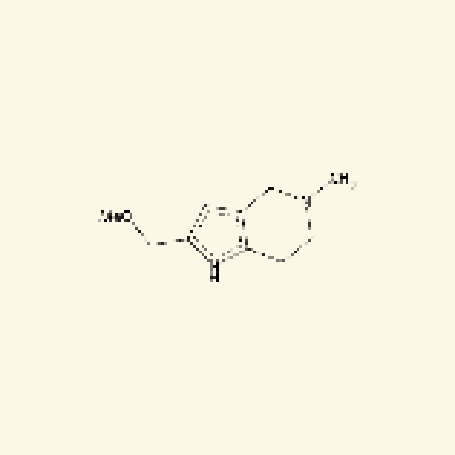 COCc1cc2c([nH]1)CCN(C)C2